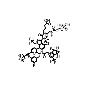 CC(C)(C#Cc1ccc(-c2ccc(Cl)c3c(N(C(=O)N(CCCC(=O)O)CCNC(=O)OCOP(=O)(O)O)S(C)(=O)=O)nn(CC(F)(F)F)c23)c([C@H](Cc2cc(F)cc(F)c2)NC(=O)Cn2nc(C(F)(F)F)c3c2C(F)(F)[C@@H]2C[C@H]32)n1)S(C)(=O)=O